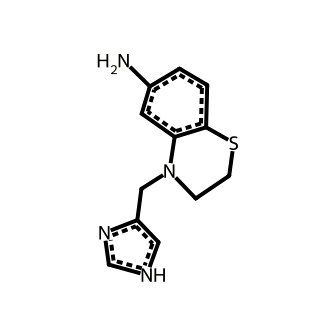 Nc1ccc2c(c1)N(Cc1c[nH]cn1)CCS2